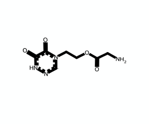 NCC(=O)OCCn1[c]n[nH]c(=O)c1=O